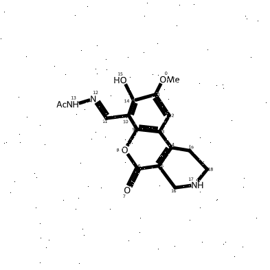 COc1cc2c3c(c(=O)oc2c(/C=N/NC(C)=O)c1O)CNCC3